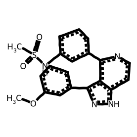 COc1cccc(-c2n[nH]c3ccnc(-c4cccc(NS(C)(=O)=O)c4)c23)c1